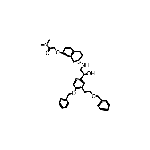 CN(C)C(=O)COc1ccc2c(c1)C[C@@H](NCC(O)c1ccc(OCc3ccccc3)c(CCOCc3ccccc3)c1)CC2